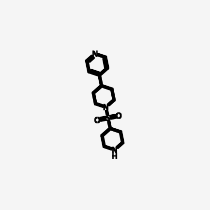 O=S(=O)(C1CCNCC1)N1CCC(c2ccncc2)CC1